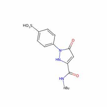 CCCCNC(=O)c1cc(=O)n(-c2ccc(S(=O)(=O)O)cc2)[nH]1